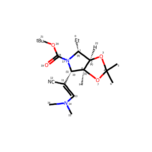 CC[C@@H]1[C@H]2OC(C)(C)O[C@@]2(C)[C@H](C(C#N)=CN(C)C)N1C(=O)OC(C)(C)C